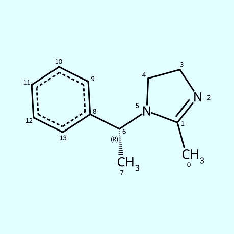 CC1=NCCN1[C@H](C)c1ccccc1